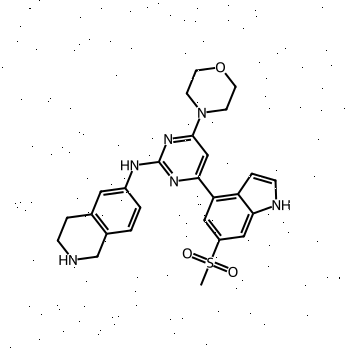 CS(=O)(=O)c1cc(-c2cc(N3CCOCC3)nc(Nc3ccc4c(c3)CCNC4)n2)c2cc[nH]c2c1